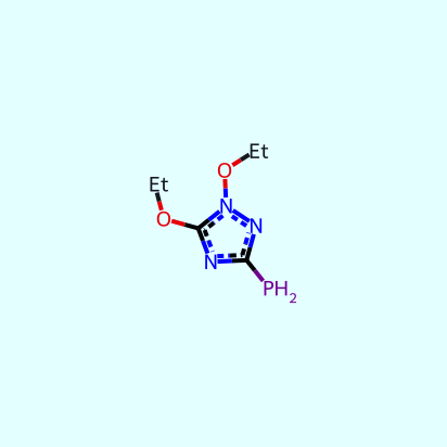 CCOc1nc(P)nn1OCC